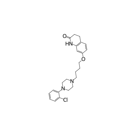 O=C1CCc2ccc(OCCCCN3CCN(c4ccccc4Cl)CC3)cc2N1